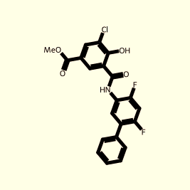 COC(=O)c1cc(Cl)c(O)c(C(=O)Nc2cc(-c3ccccc3)c(F)cc2F)c1